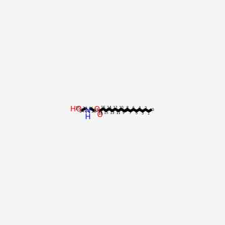 CCCCCCCCC=CCCCCCCCC(=O)OCCNCCO